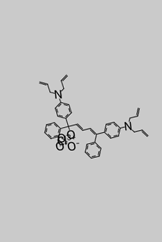 C=CCN(CC=C)c1ccc(C(=CC=CC(O[Cl+3]([O-])([O-])[O-])(c2ccccc2)c2ccc(N(CC=C)CC=C)cc2)c2ccccc2)cc1